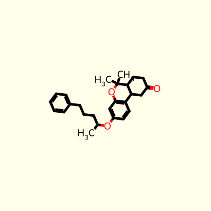 CC(CCCc1ccccc1)Oc1ccc2c(c1)OC(C)(C)C1CCC(=O)CC21